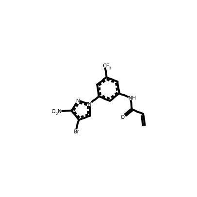 C=CC(=O)Nc1cc(-n2cc(Br)c([N+](=O)[O-])n2)cc(C(F)(F)F)c1